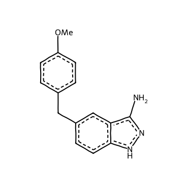 COc1ccc(Cc2ccc3[nH]nc(N)c3c2)cc1